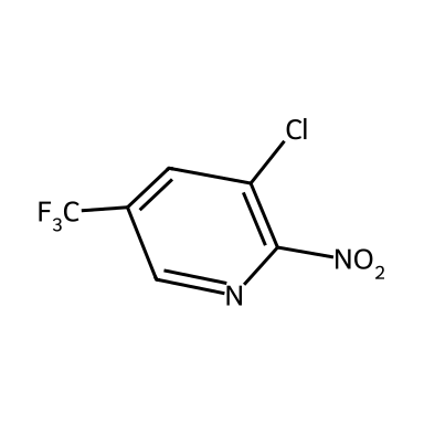 O=[N+]([O-])c1ncc(C(F)(F)F)cc1Cl